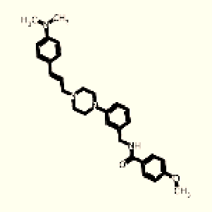 COc1ccc(C(=O)NCc2cccc(N3CCN(C/C=C/c4ccc(N(C)C)cc4)CC3)c2)cc1